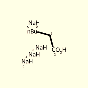 CCCCCC(=O)O.[NaH].[NaH].[NaH].[NaH]